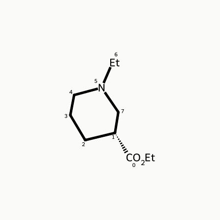 CCOC(=O)[C@@H]1CCCN(CC)C1